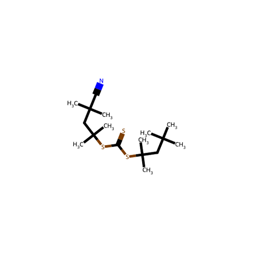 CC(C)(C)CC(C)(C)SC(=S)SC(C)(C)CC(C)(C)C#N